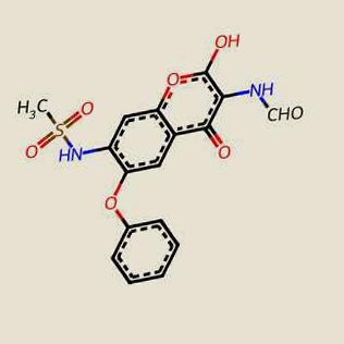 CS(=O)(=O)Nc1cc2oc(O)c(NC=O)c(=O)c2cc1Oc1ccccc1